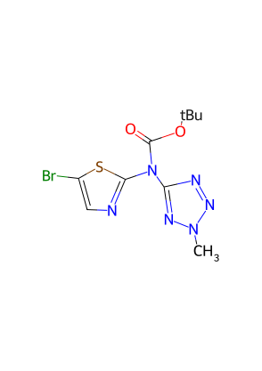 Cn1nnc(N(C(=O)OC(C)(C)C)c2ncc(Br)s2)n1